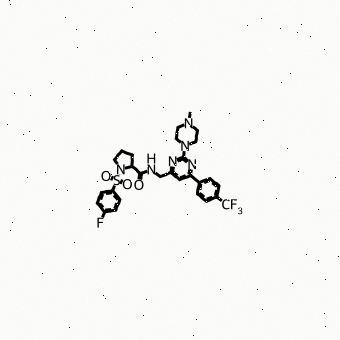 CN1CCN(c2nc(CNC(=O)C3CCCN3S(=O)(=O)c3ccc(F)cc3)cc(-c3ccc(C(F)(F)F)cc3)n2)CC1